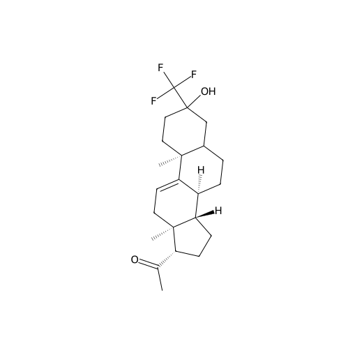 CC(=O)[C@H]1CC[C@H]2[C@@H]3CCC4CC(O)(C(F)(F)F)CC[C@]4(C)C3=CC[C@]12C